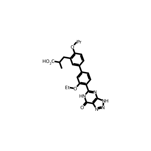 CCOc1cc(-c2ccc(OC(C)C)c(CC(C)C(=O)O)c2)ccc1-c1nc2[nH]nnc2c(=O)[nH]1